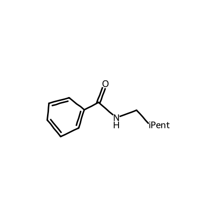 CCCC(C)CNC(=O)c1ccccc1